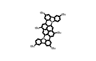 CC(C)(C)c1ccc2c(c1)-c1cc(C(C)(C)C)cc3c1B2c1cc2c(C(C)(C)C)cc4c5c(cc6c(C(C)(C)C)cc-3c1c6c25)B1c2ccc(C(C)(C)C)cc2-c2cc(C(C)(C)C)cc-4c21